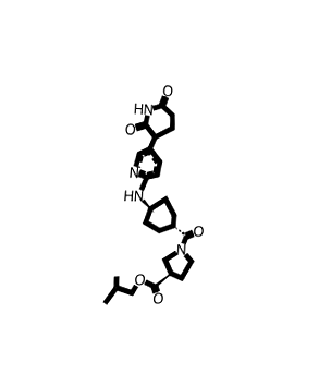 CC(C)COC(=O)[C@@H]1CCN(C(=O)[C@H]2CC[C@H](Nc3ccc(C4CCC(=O)NC4=O)cn3)CC2)C1